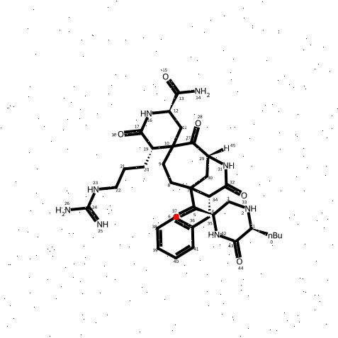 CCCC[C@@H]1NC[C@H](C(=O)C23CCC4(C[C@H](C(N)=O)NC(=O)[C@H]4CCCNC(=N)N)C(=O)[C@@H](C2)NC(=O)[C@@H]3Cc2ccccc2)NC1=O